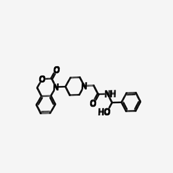 O=C(CN1CCC(N2C(=O)OCc3ccccc32)CC1)NC(O)c1ccccc1